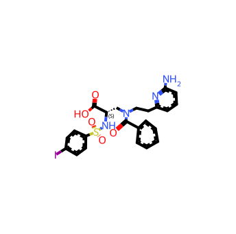 Nc1cccc(CCN(C[C@H](NS(=O)(=O)c2ccc(I)cc2)C(=O)O)C(=O)c2ccccc2)n1